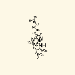 Cc1cc(C)c(Nc2nc(C)nc3c(CCCCC4CC4)cnn23)c(C)c1